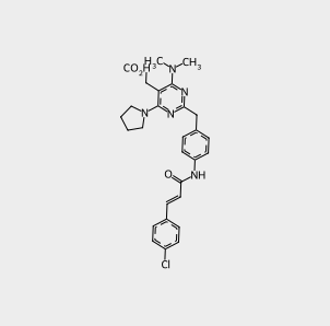 CN(C)c1nc(Cc2ccc(NC(=O)/C=C/c3ccc(Cl)cc3)cc2)nc(N2CCCC2)c1CC(=O)O